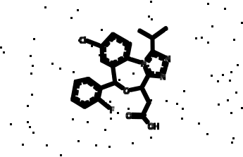 CC(C)c1nnc2n1-c1ccc(Cl)cc1C(c1ccccc1F)OC2CC(=O)O